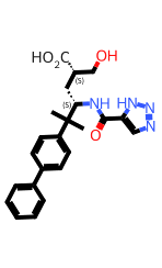 CC(C)(c1ccc(-c2ccccc2)cc1)[C@H](C[C@@H](CO)C(=O)O)NC(=O)c1cnn[nH]1